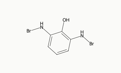 Oc1c(NBr)cccc1NBr